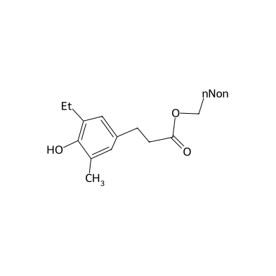 CCCCCCCCCCOC(=O)CCc1cc(C)c(O)c(CC)c1